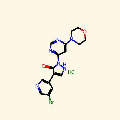 Cl.O=c1c(-c2cncc(Br)c2)c[nH]n1-c1cc(N2CCOCC2)ncn1